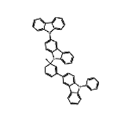 CC1(n2c3ccccc3c3cc(-n4c5ccccc5c5ccccc54)ccc32)C=C(c2ccc3c(c2)c2ccccc2n3-c2ccccc2)C=CC1